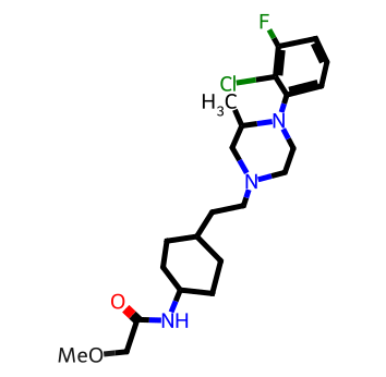 COCC(=O)NC1CCC(CCN2CCN(c3cccc(F)c3Cl)C(C)C2)CC1